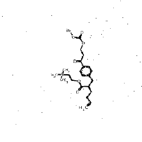 C=CCCC(Cc1ccc(C(=O)CCOC(=O)OC(C)C)cc1)C(=O)OCC[Si](C)(C)C